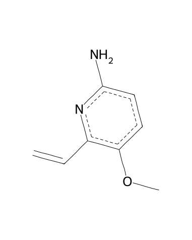 C=Cc1nc(N)ccc1OC